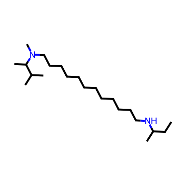 CCC(C)NCCCCCCCCCCCCN(C)C(C)C(C)C